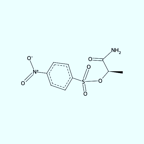 C[C@@H](OS(=O)(=O)c1ccc([N+](=O)[O-])cc1)C(N)=O